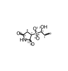 C=CC(O)S(=O)(=O)C1CC(=O)NC1=O